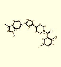 Cc1nn(C)c2cc(-c3noc(C4CCN(C(=O)c5cc(F)ccc5Cl)CC4)n3)ccc12